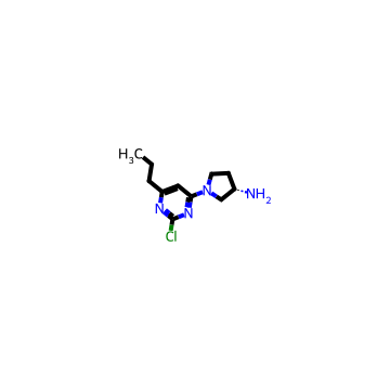 CCCc1cc(N2CC[C@H](N)C2)nc(Cl)n1